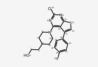 OCCC1CCN(c2nc(Cl)nc3scc(-c4ccc(F)cc4)c23)CC1